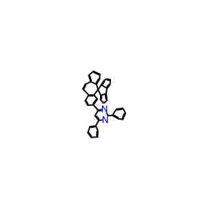 C1=Cc2ccc(-c3cc(-c4ccccc4)nc(-c4ccccc4)n3)cc2C2(c3ccccc31)c1ccccc1-c1ccccc12